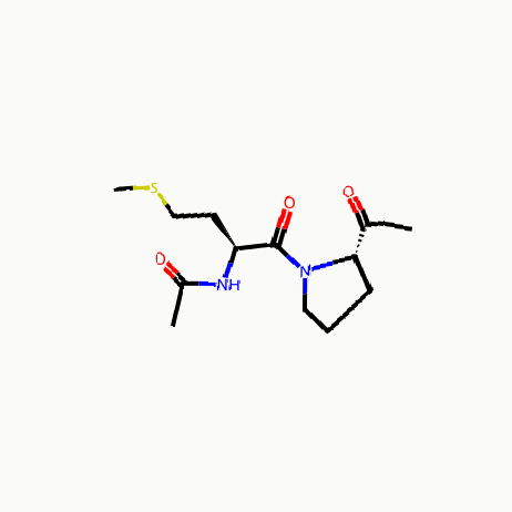 CSCC[C@H](NC(C)=O)C(=O)N1CCC[C@H]1C(C)=O